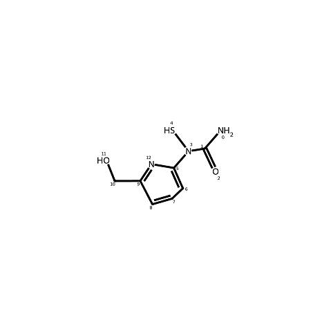 NC(=O)N(S)c1cccc(CO)n1